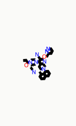 C=CC(=O)N1CCN(c2c(C#N)c(OCc3cccnn3)nc3c2CCN(c2cccc4cccc(C)c24)C3)C[C@@H]1CC#N